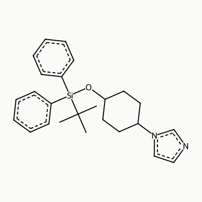 CC(C)(C)[Si](OC1CCC(n2ccnc2)CC1)(c1ccccc1)c1ccccc1